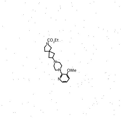 CCOC(=O)N1CCC2(CC(N3CCN(c4ncccc4OC)CC3)C2)C1